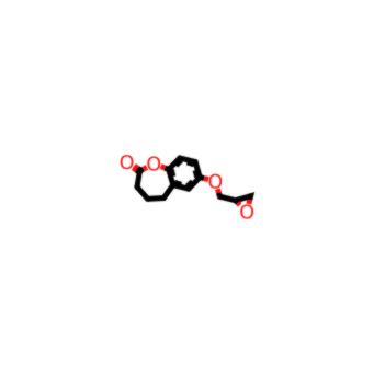 O=C1CCCc2cc(OCC3CO3)ccc2O1